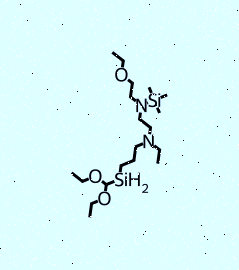 CCOCCN(CCN(CC)CCC[SiH2]C(OCC)OCC)[Si](C)(C)C